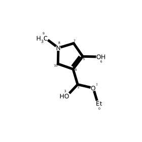 CCOC(O)C1=C(O)CN(C)C1